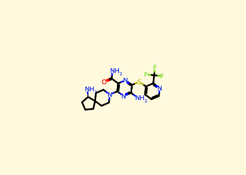 NC(=O)c1nc(Sc2cccnc2C(F)(F)F)c(N)nc1N1CCC2(CCC[C@H]2N)CC1